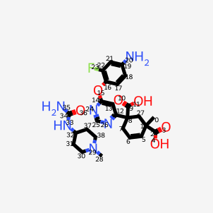 CC1(C(=O)O)C=CCC(C(=O)O)(c2cc(Oc3ccc(N)cc3F)ncn2)C1.CN1CCC(NC(N)=O)CC1